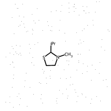 CC(C)C1SCCN1C